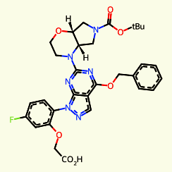 CC(C)(C)OC(=O)N1C[C@H]2OCCN(c3nc(OCc4ccccc4)c4cnn(-c5ccc(F)cc5OCC(=O)O)c4n3)[C@H]2C1